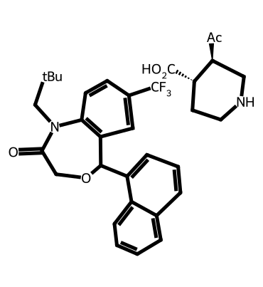 CC(=O)[C@H]1CNCC[C@@H]1C(=O)O.CC(C)(C)CN1C(=O)COC(c2cccc3ccccc23)c2cc(C(F)(F)F)ccc21